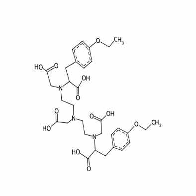 CCOc1ccc(CC(C(=O)O)N(CCN(CCN(CC(=O)O)C(Cc2ccc(OCC)cc2)C(=O)O)CC(=O)O)CC(=O)O)cc1